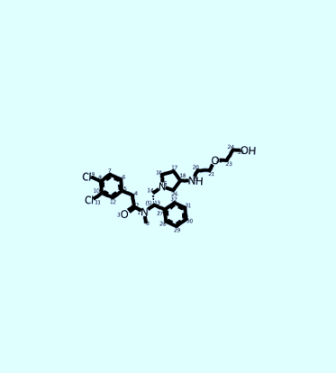 CN(C(=O)Cc1ccc(Cl)c(Cl)c1)[C@H](CN1CCC(NCCOCCO)C1)c1ccccc1